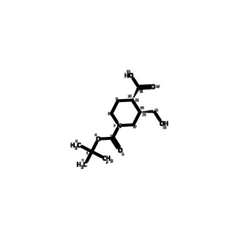 CC(C)(C)OC(=O)N1CC[C@H](C(=O)O)[C@H](CO)C1